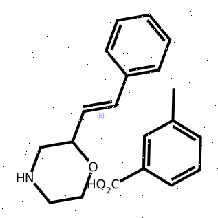 C(=C\C1CNCCO1)/c1ccccc1.Cc1cccc(C(=O)O)c1